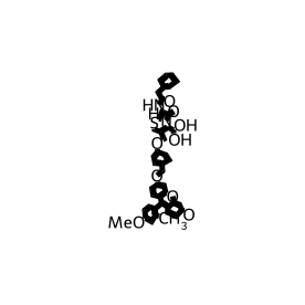 COc1ccc(-c2c3ccc(=O)cc-3oc3cc(OCc4ccc(OCC5=C(C(O)O)N6C(=O)[C@@H](NC(=O)Cc7ccccc7)[C@H]6SC5)cc4)ccc23)c(C)c1